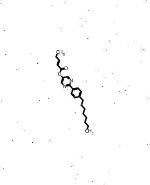 CCC=CC(=O)Oc1cnc(-c2ccc(CCCCCCCC)cc2)nc1